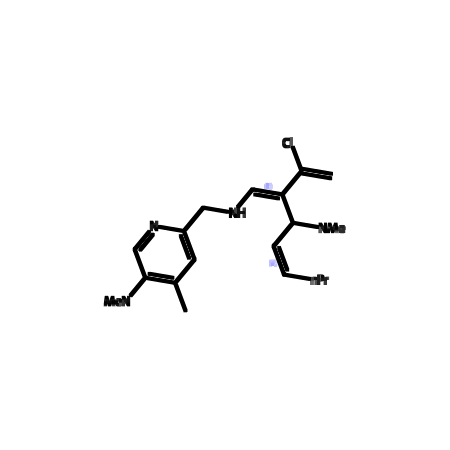 C=C(Cl)/C(=C/NCc1cc(C)c(NC)cn1)C(/C=C\CCC)NC